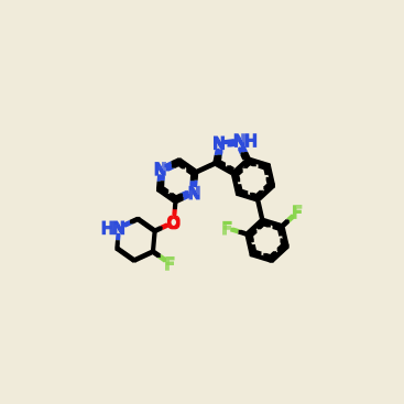 Fc1cccc(F)c1-c1ccc2[nH]nc(-c3cncc(OC4CNCCC4F)n3)c2c1